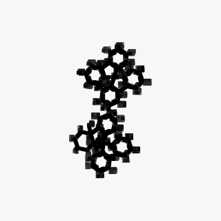 CC12CCCCC1(C)[Si](c1ccccc1)(c1ccccc1)c1ccc(-c3ccc4c(c3)-c3ccccc3C43c4ccccc4-c4ccccc43)cc12